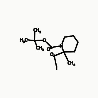 CC(C)(C)OC(=O)N1CCCCC1(C)C(=O)I